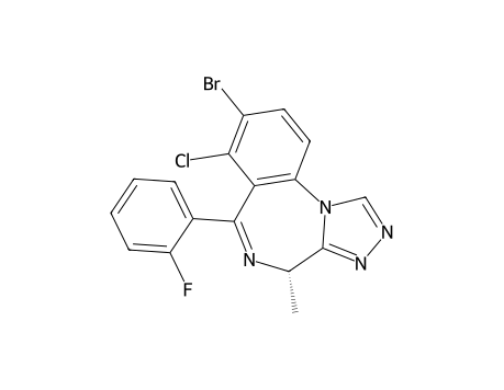 C[C@@H]1N=C(c2ccccc2F)c2c(ccc(Br)c2Cl)-n2cnnc21